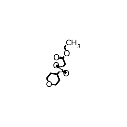 CCOC(=O)CS(=O)(=O)C1CCOCC1